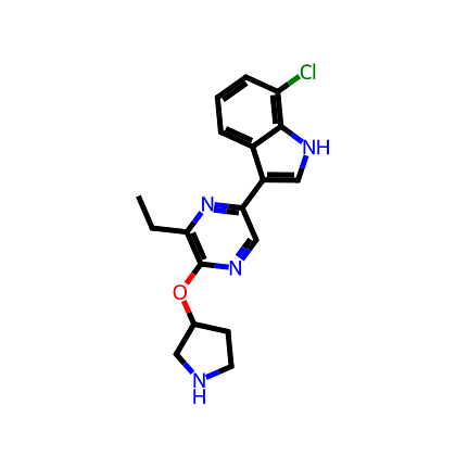 CCc1nc(-c2c[nH]c3c(Cl)cccc23)cnc1OC1CCNC1